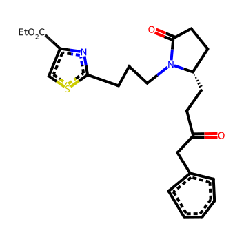 CCOC(=O)c1csc(CCCN2C(=O)CC[C@@H]2CCC(=O)Cc2ccccc2)n1